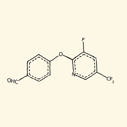 O=Cc1ccc(Oc2ncc(C(F)(F)F)cc2F)cc1